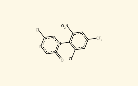 O=c1cnc(Cl)cn1-c1c(Cl)cc(C(F)(F)F)cc1[N+](=O)[O-]